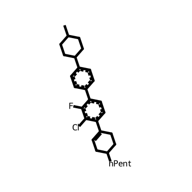 CCCCCC1CC=C(c2ccc(-c3ccc(C4CCC(C)CC4)cc3)c(F)c2Cl)CC1